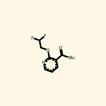 CC(C)(C)C(=O)c1cccnc1OCC(F)F